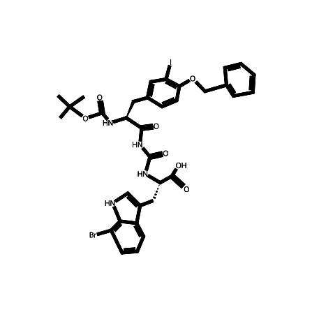 CC(C)(C)OC(=O)N[C@@H](Cc1ccc(OCc2ccccc2)c(I)c1)C(=O)NC(=O)N[C@@H](Cc1c[nH]c2c(Br)cccc12)C(=O)O